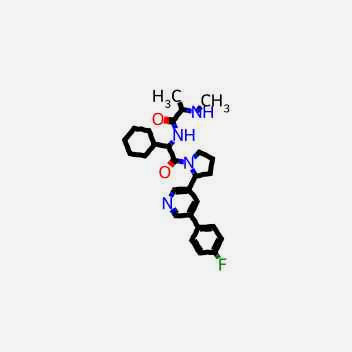 CNC(C)C(=O)NC(C(=O)N1CCCC1c1cncc(-c2ccc(F)cc2)c1)C1CCCCC1